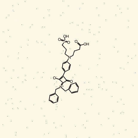 O=C(O)CCCN(CCCS(=O)(=O)O)c1ccc(-c2c([O-])c(=[N+](Cc3ccccc3)Cc3ccccc3)c2=O)cc1